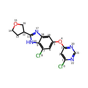 Clc1cc(Oc2cc(Cl)c3[nH]c(C4CCOC4)nc3c2)ncn1